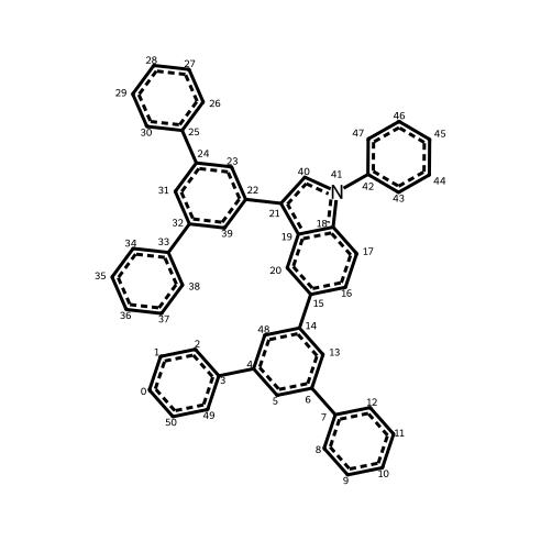 c1ccc(-c2cc(-c3ccccc3)cc(-c3ccc4c(c3)c(-c3cc(-c5ccccc5)cc(-c5ccccc5)c3)cn4-c3ccccc3)c2)cc1